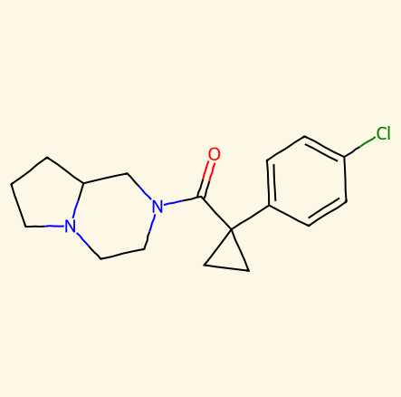 O=C(N1CCN2CCCC2C1)C1(c2ccc(Cl)cc2)CC1